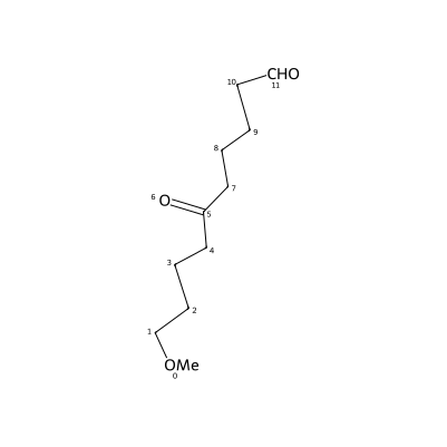 COCCCCC(=O)CCCCC=O